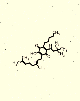 CCCCCC1=C(NCC(C)(C)C)C(=O)C(C/C=C(\C)CCC=C(C)C)=C(O)C1=O